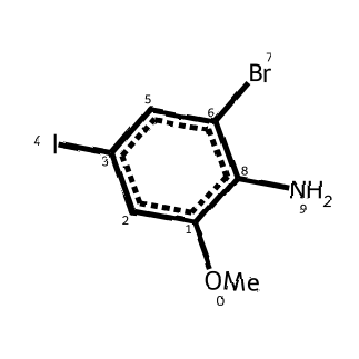 COc1cc(I)cc(Br)c1N